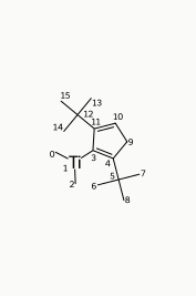 [CH3][Ti]([CH3])[C]1=C(C(C)(C)C)CC=C1C(C)(C)C